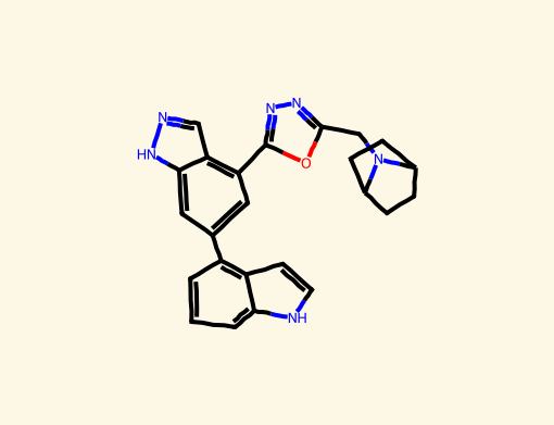 c1cc(-c2cc(-c3nnc(CN4C5CCC4CC5)o3)c3cn[nH]c3c2)c2cc[nH]c2c1